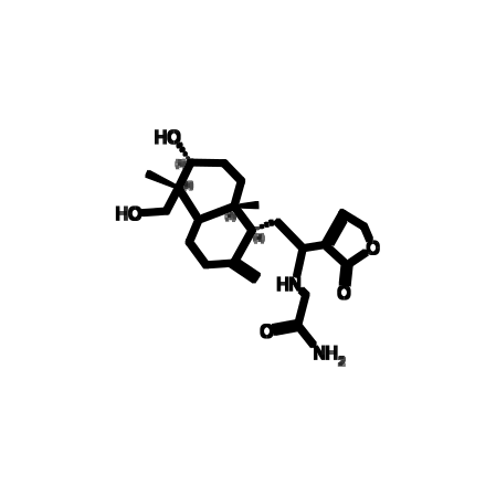 C=C1CCC2[C@](C)(CO)[C@H](O)CC[C@]2(C)[C@@H]1CC(NCC(N)=O)C1=CCOC1=O